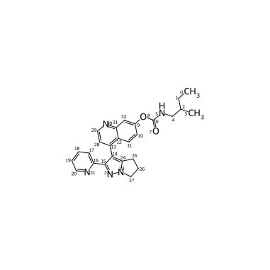 CCC(C)CNC(=O)Oc1ccc2c(-c3c(-c4ccccn4)nn4c3CCC4)ccnc2c1